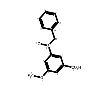 O=C(O)c1cc(OC(F)(F)F)cc([S+]([O-])Cc2ccccc2)c1